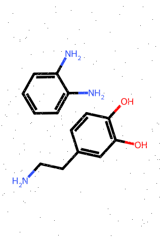 NCCc1ccc(O)c(O)c1.Nc1ccccc1N